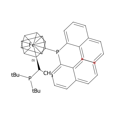 CC(P(C(C)(C)C)C(C)(C)C)[C@]12[CH]3[CH]4[CH]5[C]1(P(c1cccc6ccccc16)c1cccc6ccccc16)[Fe]45321678[CH]2[CH]1[CH]6[CH]7[CH]28